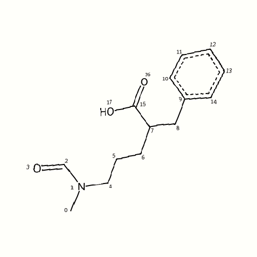 CN(C=O)CCCC(Cc1ccccc1)C(=O)O